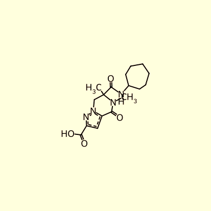 CN1C(=O)c2cc(C(=O)O)nn2CC1(C)C(=O)NC1CCCCCC1